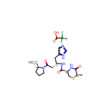 C[C@H]1SC[C@@H](C(=O)N[C@H](CC(=O)N2CCC[C@H]2C(=O)O)Cc2cnc[nH]2)NC1=O.O=C(O)C(F)(F)F